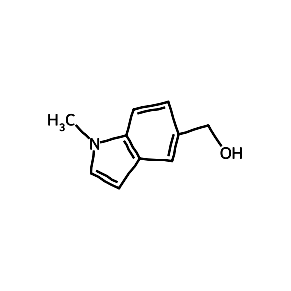 Cn1ccc2cc(CO)ccc21